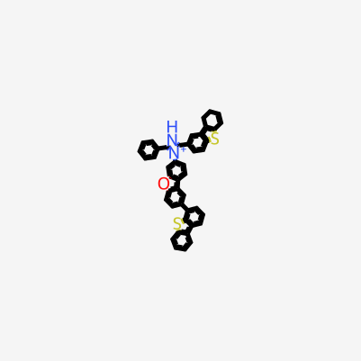 C1=Cc2sc3ccc(C4NC(c5ccccc5)=[N+]4c4ccc5c(c4)oc4ccc(-c6cccc7c6sc6ccccc67)cc45)cc3c2CC1